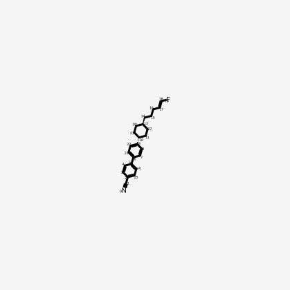 N#Cc1ccc(-c2ccc([C@H]3CC[C@H](CCCC=CF)CC3)cc2)cc1